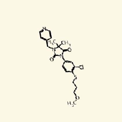 COCCCSc1ccc(N2C(=O)N(Cc3ccncc3)C(C)(C)C2=O)cc1Cl